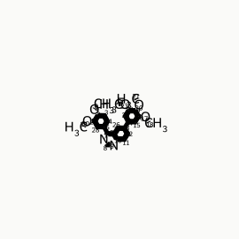 COc1ccc(-c2ncnc3ccc(-c4cc(OC)c(OC)c(OC)c4)cc23)cc1OC